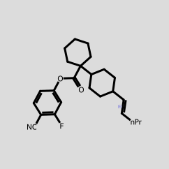 CCC/C=C/C1CCC(C2(C(=O)Oc3ccc(C#N)c(F)c3)CCCCC2)CC1